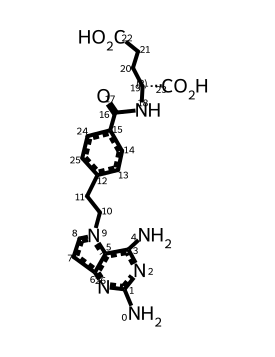 Nc1nc(N)c2c(ccn2CCc2ccc(C(=O)N[C@H](CCC(=O)O)C(=O)O)cc2)n1